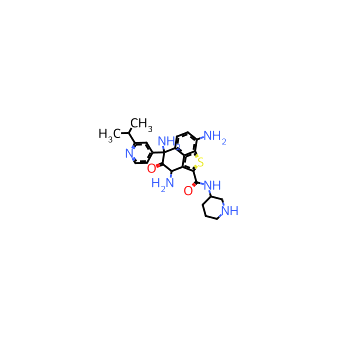 CC(C)c1cc(C2(N)C(=O)C(N)c3c(C(=O)NC4CCCNC4)sc4c(N)ccc2c34)ccn1